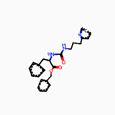 O=C(NCCCc1ccccn1)NC(Cc1ccccc1)C(=O)OCc1ccccc1